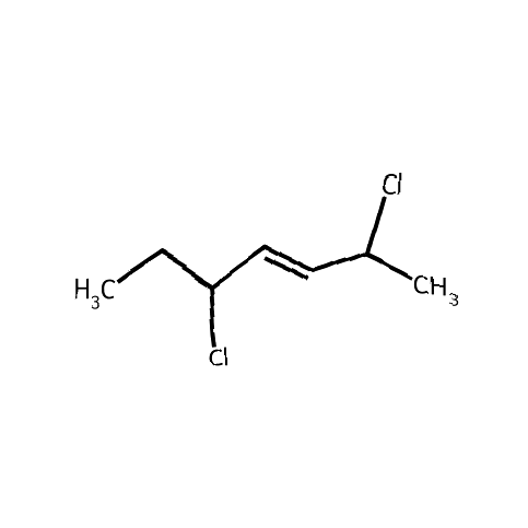 CCC(Cl)/C=C/C(C)Cl